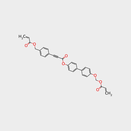 C=CC(=O)OCOc1ccc(-c2ccc(OC(=O)C#Cc3ccc(COC(=O)C=C)cc3)cc2)cc1